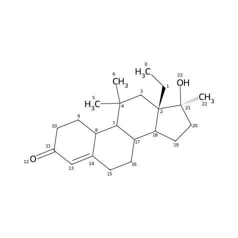 CC[C@]12CC(C)(C)C3C4CCC(=O)C=C4CCC3C1CC[C@]2(C)O